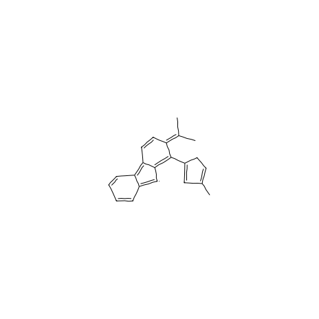 CC1=CCC(c2c3c(ccc2=C(C)C)=c2ccccc2=[C]3)=C1